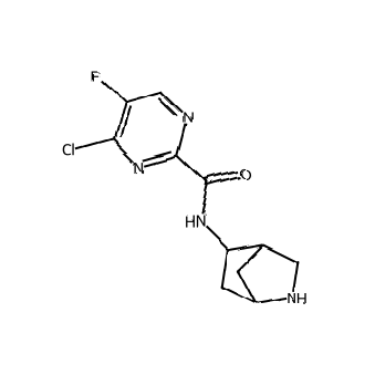 O=C(NC1CC2CC1CN2)c1ncc(F)c(Cl)n1